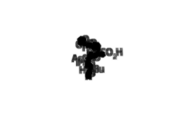 CCC(C)[C@H](NC(=O)C[N+](C)(C)C)C(=O)N(C)[C@H](C[C@@H](OC(C)=O)c1nc(C(=O)N[C@@H](Cc2ccc(O)c(NC(=O)CCCN3C(=O)C=CC3=O)c2)CC(C)C(=O)O)cs1)C(C)C